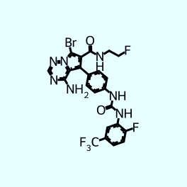 Nc1ncnn2c(Br)c(C(=O)NCCF)c(-c3ccc(NC(=O)Nc4cc(C(F)(F)F)ccc4F)cc3)c12